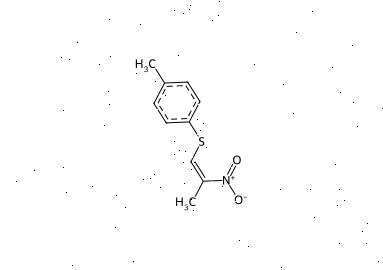 CC(=CSc1ccc(C)cc1)[N+](=O)[O-]